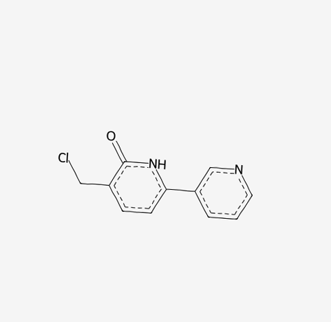 O=c1[nH]c(-c2cccnc2)ccc1CCl